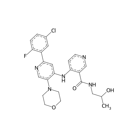 CC(O)CNC(=O)c1cnccc1Nc1cc(-c2cc(Cl)ccc2F)ncc1N1CCOCC1